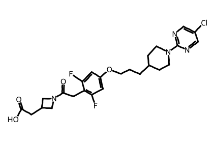 O=C(O)CC1CN(C(=O)Cc2c(F)cc(OCCCC3CCN(c4ncc(Cl)cn4)CC3)cc2F)C1